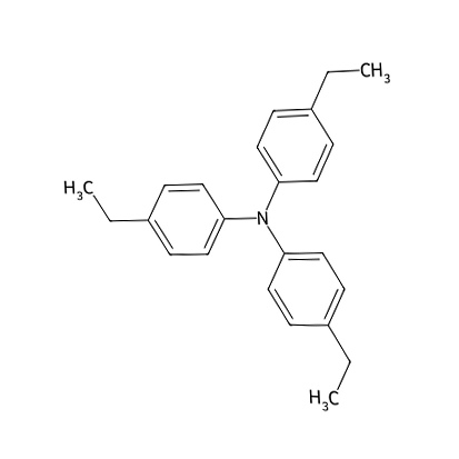 CCc1ccc(N(c2ccc(CC)cc2)c2ccc(CC)cc2)cc1